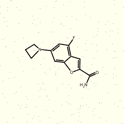 NC(=O)c1cc2c(F)cc(N3CCC3)cc2o1